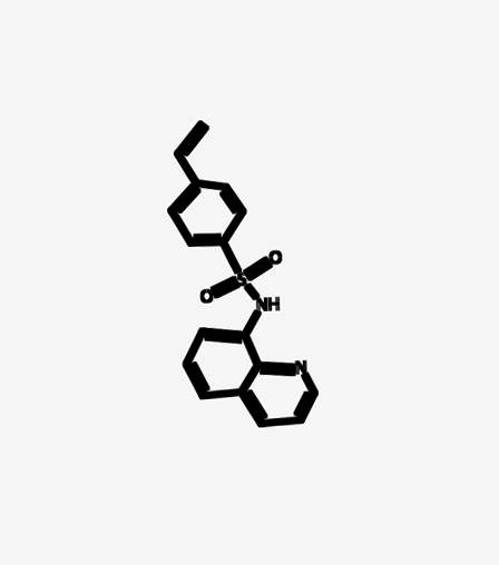 C=Cc1ccc(S(=O)(=O)Nc2cccc3cccnc23)cc1